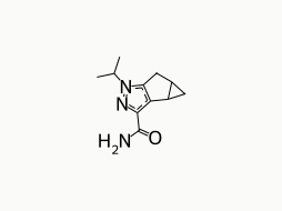 CC(C)n1nc(C(N)=O)c2c1CC1CC21